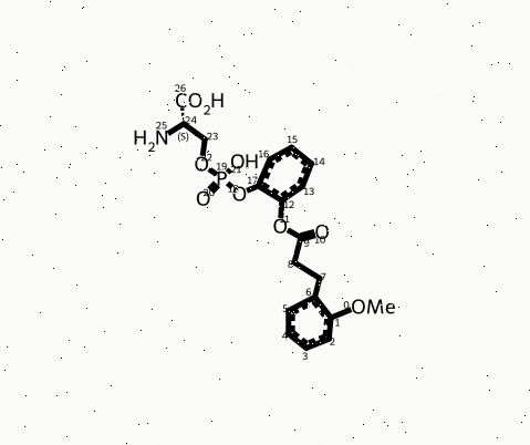 COc1ccccc1CCC(=O)Oc1ccccc1OP(=O)(O)OC[C@H](N)C(=O)O